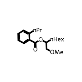 CCCCCCC(COC)OC(=O)c1ccccc1CCC